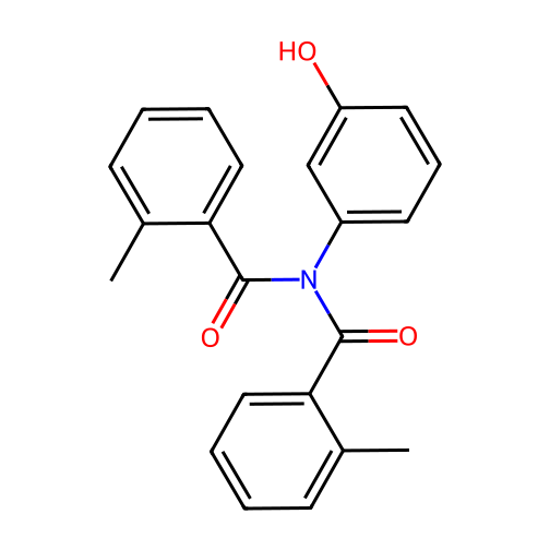 Cc1ccccc1C(=O)N(C(=O)c1ccccc1C)c1cccc(O)c1